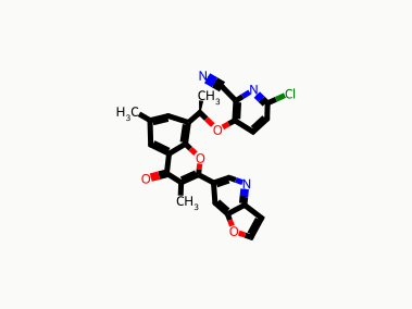 Cc1cc([C@@H](C)Oc2ccc(Cl)nc2C#N)c2oc(-c3cnc4ccoc4c3)c(C)c(=O)c2c1